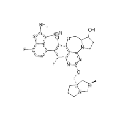 C[C@H]1CN2CCC[C@@]2(COc2nc3c4c(c(Cl)c(-c5ccc(F)c6sc(N)c(C#N)c56)c(F)c4n2)OCC2C(O)CCN32)C1